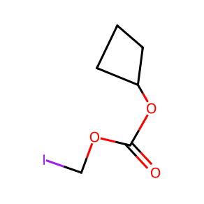 O=C(OCI)OC1CCC1